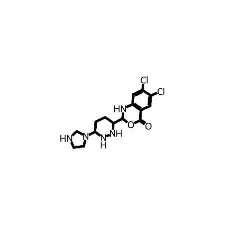 O=C1OC(C2CCC(N3CCNC3)NN2)Nc2cc(Cl)c(Cl)cc21